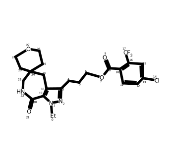 CCn1nc(CCCOC(=O)c2ccc(Cl)cc2C(F)(F)F)c2c1C(=O)NCC1(CCOCC1)C2